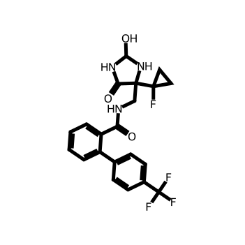 O=C(NCC1(C2(F)CC2)NC(O)NC1=O)c1ccccc1-c1ccc(C(F)(F)F)cc1